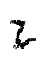 COc1ccc(CS(=O)(=O)O/N=C(/c2ccc(OCCCOc3ccc(/C(C)=N/OS(=O)(=O)Cc4ccc(CO)cc4)cc3)cc2)C(F)(F)F)cc1